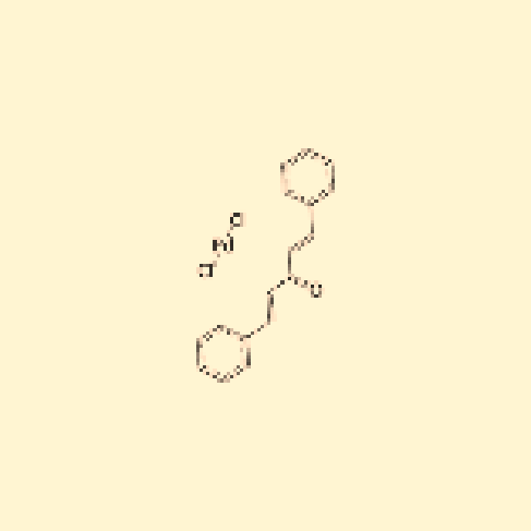 O=C(C=Cc1ccccc1)C=Cc1ccccc1.[Cl][Pd][Cl]